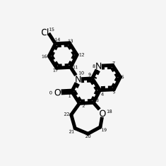 O=c1c2c(c3cccnc3n1-c1ccc(Cl)cc1)OCCCC2